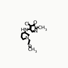 COCCN1CCCC(Nc2cnn(C)c(=O)c2Cl)C1